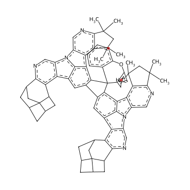 CC1(C)CC(C)(C)c2c1ncc1c2c2c3c(cc4c5c6c(ncc5n1c42)C1CC2CC4CC6CC421)-c1cc2c4c5c(ncc4n4c6cnc7c(c6c(c1C31c3ccccc3Oc3ccccc31)c24)C(C)(C)CC7(C)C)C1CC2CC3CC5C23C1